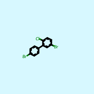 Clc1ccc(Br)cc1-c1ccc(Br)cc1